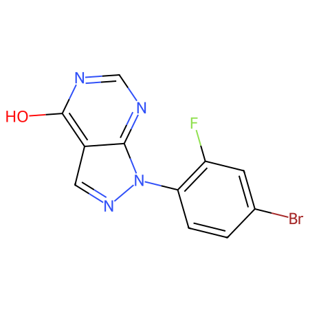 Oc1ncnc2c1cnn2-c1ccc(Br)cc1F